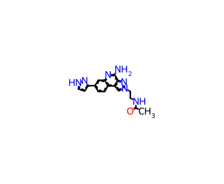 CC(=O)NCCn1cc2c(n1)c(N)nc1cc(-c3cc[nH]n3)ccc12